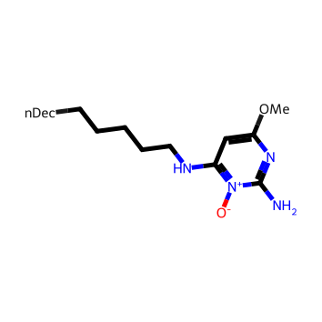 CCCCCCCCCCCCCCCNc1cc(OC)nc(N)[n+]1[O-]